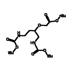 CCCCOC(=O)COC(CCNC(=O)OC(C)(C)C)CNC(=O)OC(C)(C)C